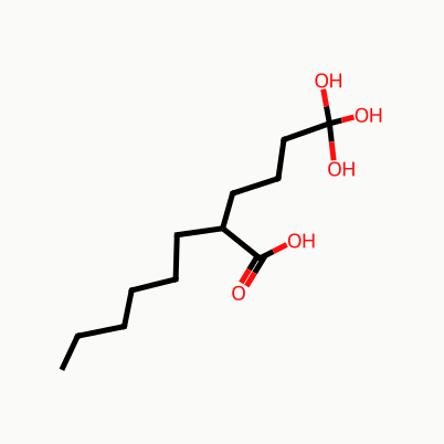 CCCCCCC(CCCC(O)(O)O)C(=O)O